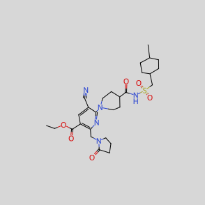 CCOC(=O)c1cc(C#N)c(N2CCC(C(=O)NS(=O)(=O)CC3CCC(C)CC3)CC2)nc1CN1CCCC1=O